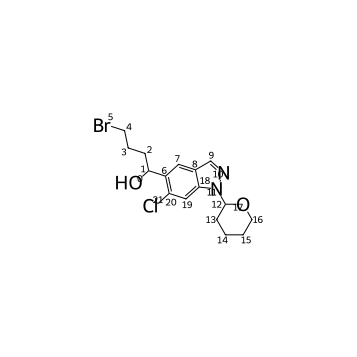 OC(CCCBr)c1cc2cnn(C3CCCCO3)c2cc1Cl